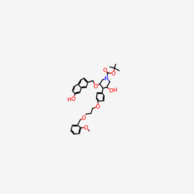 COc1ccccc1COCCCOc1ccc(C2C(O)CN(C(=O)OC(C)(C)C)CC2OCc2ccc3ccc(O)cc3c2)cc1